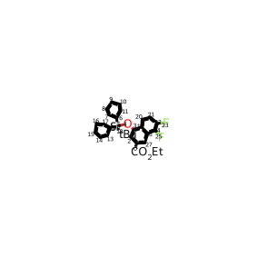 CCOC(=O)c1cc(O[Si](c2ccccc2)(c2ccccc2)C(C)(C)C)c2ccc(F)c(F)c2c1